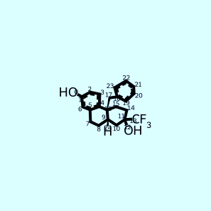 Oc1ccc2c(c1)CC[C@H]1CC(O)(C(F)(F)F)CC[C@@]21Cc1ccccc1